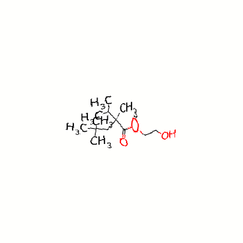 CC(C)C(C)(CC(C)(C)C)C(=O)OCCO